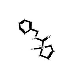 O=C(OCc1ccccc1)[N+]1([O-])CC=CC1